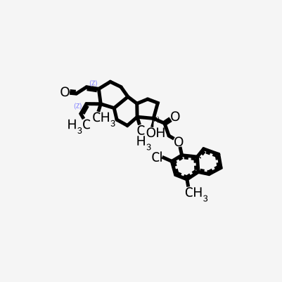 C/C=C\C1(C)/C(=C\C=O)CCC2C1CCC1(C)C2CC[C@]1(O)C(=O)COc1c(Cl)cc(C)c2ccccc12